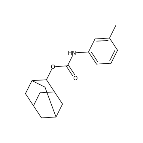 Cc1cccc(NC(=O)OC2C3CC4CC(C3)CC2C4)c1